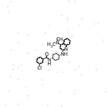 CN(C)c1cc(N[C@H]2CC[C@@H](NC(=O)c3cccc(Cl)c3)CC2)nc2ccccc12